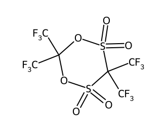 O=S1(=O)OC(C(F)(F)F)(C(F)(F)F)OS(=O)(=O)C1(C(F)(F)F)C(F)(F)F